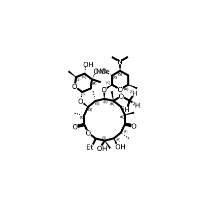 [2H]C([2H])([2H])O[C@]1(C)C[C@@H](C)C(=O)[C@H](C)[C@@H](O)[C@](C)(O)C(CC)OC(=O)[C@H](C)[C@@H](O[C@H]2C[C@@](C)(OC)[C@@H](O)[C@H](C)O2)[C@H](C)[C@H]1O[C@@H]1O[C@H](C)C[C@H](N(C)C)[C@H]1O